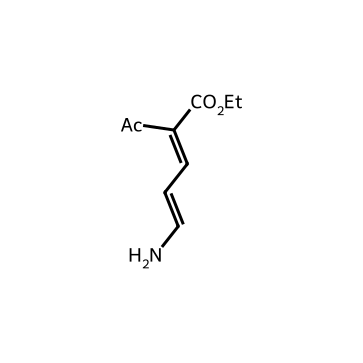 CCOC(=O)C(=CC=CN)C(C)=O